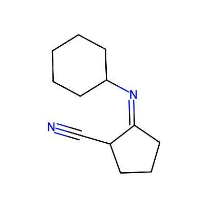 N#CC1CCCC1=NC1CCCCC1